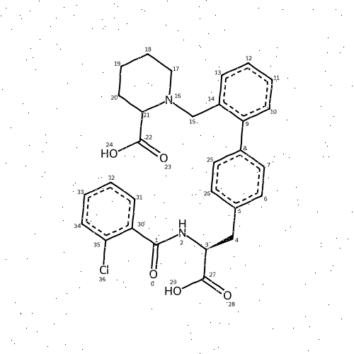 O=C(N[C@@H](Cc1ccc(-c2ccccc2CN2CCCCC2C(=O)O)cc1)C(=O)O)c1ccccc1Cl